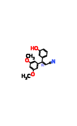 COc1cc(OC)cc(/C(=C/C#N)c2cccc(O)c2)c1